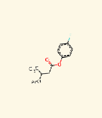 CC(=O)OC(CC(=O)Oc1ccc(F)cc1)C(Cl)(Cl)Cl